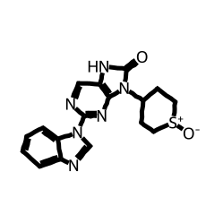 O=c1[nH]c2cnc(-n3cnc4ccccc43)nc2n1C1CC[S+]([O-])CC1